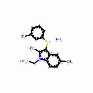 CCc1cccc(Sc2c(C)n(CC(=O)O)c3ccc(C)cc23)c1.N